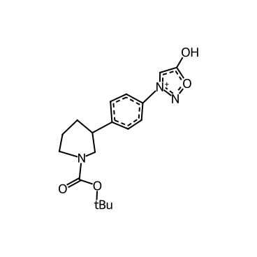 CC(C)(C)OC(=O)N1CCCC(c2ccc(-[n+]3cc(O)on3)cc2)C1